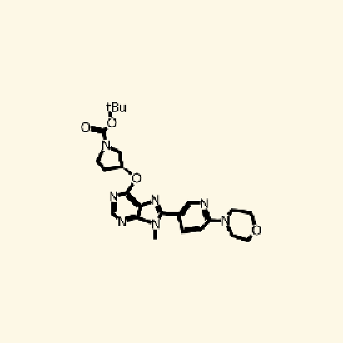 Cn1c(-c2ccc(N3CCOCC3)nc2)nc2c(O[C@H]3CCN(C(=O)OC(C)(C)C)C3)ncnc21